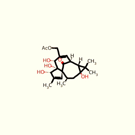 CC(=O)OCC1=C[C@@H]2C(=O)[C@]3(C=C(C)[C@H](O)[C@@]3(O)[C@@H]1O)[C@H](C)C[C@]1(O)[C@H]2C1(C)C